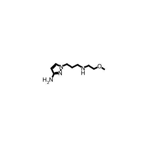 COCCNCCCn1ccc(N)n1